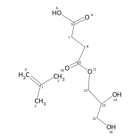 C=C(C)C.O=C(O)CCC(=O)OCC(O)CO